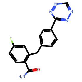 NC(=O)c1ccc(F)cc1Cc1ccc(-c2nncnn2)cc1